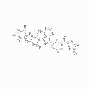 Nc1ncnc2c1c(-c1ccc(Oc3c(F)c(F)cc(F)c3F)cc1F)nn2C1CCCN(C(=O)C2CNC(=O)S2)C1